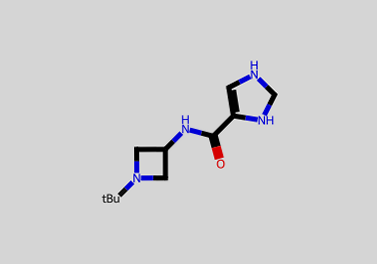 CC(C)(C)N1CC(NC(=O)C2=CNCN2)C1